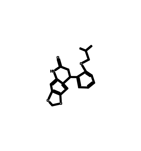 CC(C)COc1ccccc1C1CC(=O)Nc2cc3c(cc21)OCO3